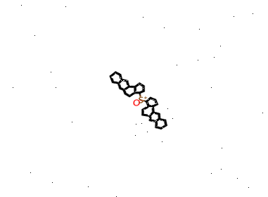 [O-][S+](c1cccc2c1ccc1cc3ccccc3cc12)c1cccc2c1ccc1cc3ccccc3cc12